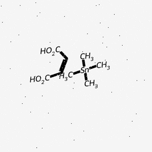 O=C(O)/C=C\C(=O)O.[CH3][Sn]([CH3])([CH3])[CH3]